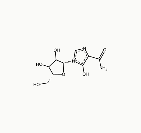 NC(=O)c1ncn([C@@H]2O[C@H](CO)C(O)C2O)c1O